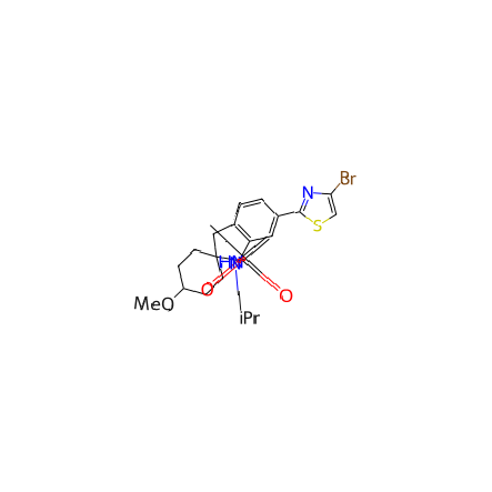 COC1CCC2(CC1)Cc1ccc(-c3nc(Br)cs3)cc1C21NC(=O)N(C(C)C)C1=O